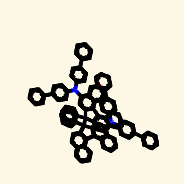 c1ccc(-c2ccc(N(c3ccc(-c4ccccc4)cc3)c3cc4c(c5ccccc35)-c3c(ccc5ccccc35)C4(c3ccccc3)C3(c4ccccc4)c4ccc5ccccc5c4-c4c3cc(N(c3ccc(-c5ccccc5)cc3)c3ccc(-c5ccccc5)cc3)c3ccccc43)cc2)cc1